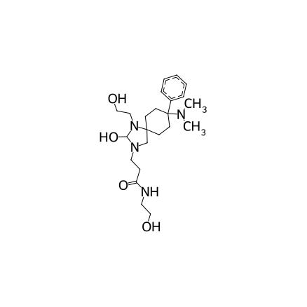 CN(C)C1(c2ccccc2)CCC2(CC1)CN(CCC(=O)NCCO)C(O)N2CCO